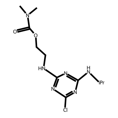 CC(C)Nc1nc(Cl)nc(NCCOC(=O)N(C)C)n1